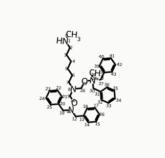 CNCCCCCCN(CON(Cc1ccccc1)Cc1ccccc1)CO[N+](C)(Cc1ccccc1)Cc1ccccc1